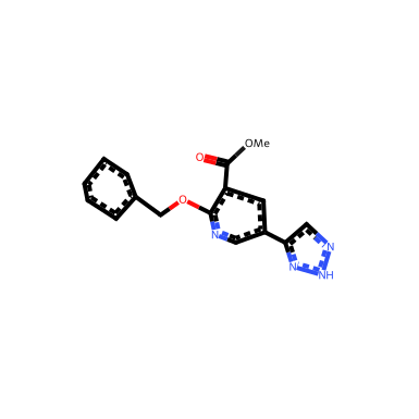 COC(=O)c1cc(-c2cn[nH]n2)cnc1OCc1ccccc1